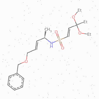 CCOC(C=CS(=O)(=O)N[C@H](C)C=CCOCc1ccccc1)(CC)OCC